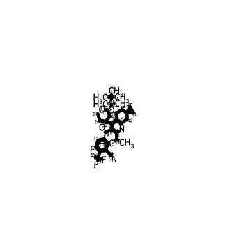 CC(C)c1nc2c(c3c1[C@@H](c1ccc(C(F)(F)F)c(C#N)c1)OC31CCOCC1)[C@@H](O[Si](C)(C)C(C)(C)C)CC1(CC1)C2